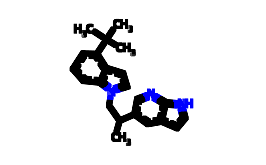 CC(Cn1ccc2c(C(C)(C)C)cccc21)c1cnc2[nH]ccc2c1